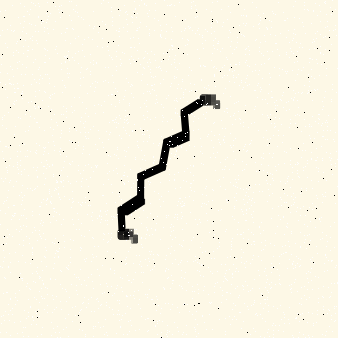 C/C=C/CC/C=C/CC